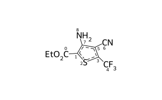 CCOC(=O)c1sc(C(F)(F)F)c(C#N)c1N